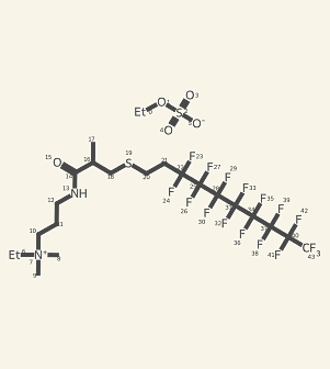 CCOS(=O)(=O)[O-].CC[N+](C)(C)CCCNC(=O)C(C)CSCCC(F)(F)C(F)(F)C(F)(F)C(F)(F)C(F)(F)C(F)(F)C(F)(F)C(F)(F)F